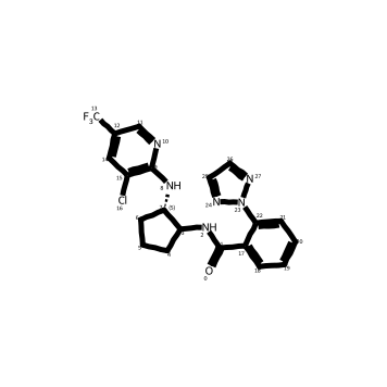 O=C(NC1CCC[C@@H]1Nc1ncc(C(F)(F)F)cc1Cl)c1ccccc1-n1nccn1